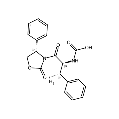 C[C@@H](c1ccccc1)[C@H](NC(=O)O)C(=O)N1C(=O)OC[C@@H]1c1ccccc1